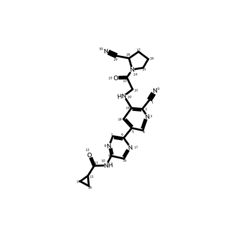 N#Cc1ncc(-c2cnc(NC(=O)C3CC3)cn2)cc1NCC(=O)N1CCCC1C#N